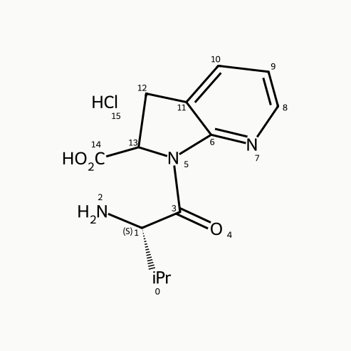 CC(C)[C@H](N)C(=O)N1c2ncccc2CC1C(=O)O.Cl